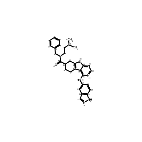 CN(C)CCN(Cc1ccccc1)C(=O)C1CCc2c(sc3ncnc(Nc4ccc5[nH]ncc5c4)c23)C1